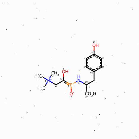 C[N+](C)(C)CC(O)=[P+]([O-])N[C@@H](Cc1ccc(O)cc1)C(=O)O